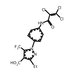 CCc1nn(-c2ccc(NC(=O)C(Cl)=C(Cl)Cl)cc2)c(C(F)(F)F)c1C(=O)O